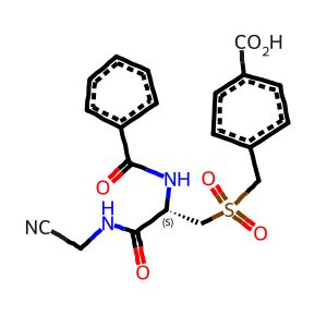 N#CCNC(=O)[C@@H](CS(=O)(=O)Cc1ccc(C(=O)O)cc1)NC(=O)c1ccccc1